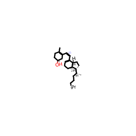 CC1=C(/C=C\C2=CCC[C@]3(C)[C@@H]([C@H](C)CCCC(C)C)CC[C@@H]23)C[C@@H](O)CC1